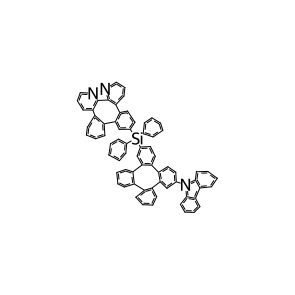 c1ccc([Si](c2ccccc2)(c2ccc3c(c2)-c2ccccc2-c2ccccc2-c2cc(-n4c5ccccc5c5ccccc54)ccc2-3)c2ccc3c(c2)-c2ccccc2-c2cccnc2-c2ncccc2-3)cc1